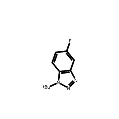 CC(C)(C)n1nnc2cc(F)ccc21